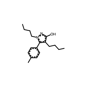 CCCCc1c(O)nn(CCCC)c1-c1ccc(C)cc1